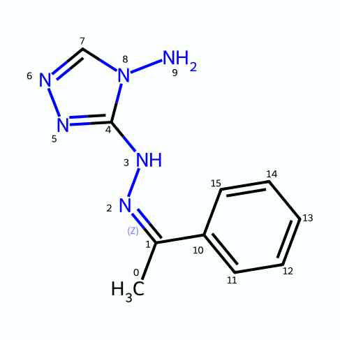 C/C(=N/Nc1nncn1N)c1ccccc1